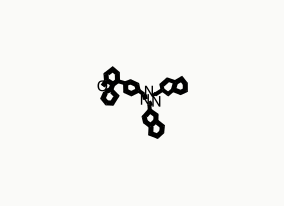 C1=CC(c2nc(-c3ccc(-c4cccc5oc6ccccc6c45)cc3)nc(-c3ccc4ccccc4c3)n2)Cc2ccccc21